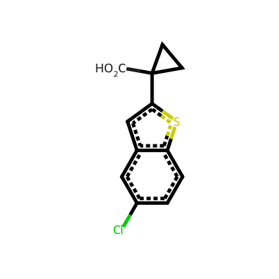 O=C(O)C1(c2cc3cc(Cl)ccc3s2)CC1